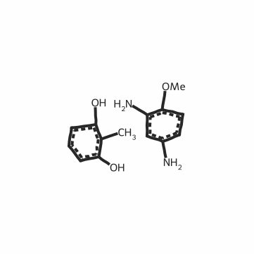 COc1ccc(N)cc1N.Cc1c(O)cccc1O